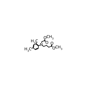 COC(=O)CCCN(CC(=O)OC)c1ccc(C)cc1C